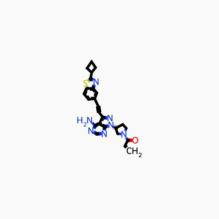 C=CC(=O)N1CC[C@H](n2nc(C#Cc3ccc4sc(C5CCC5)nc4c3)c3c(N)ncnc32)C1